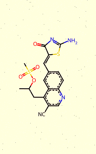 CC(Cc1c(C#N)cnc2ccc(/C=C3\SC(N)=NC3=O)cc12)OS(C)(=O)=O